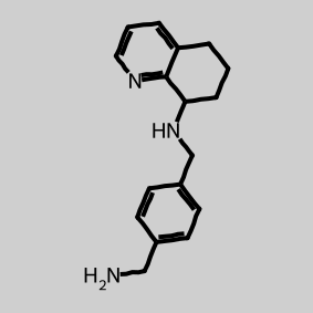 NCc1ccc(CNC2CCCc3cccnc32)cc1